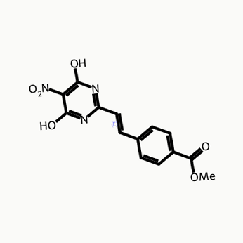 COC(=O)c1ccc(/C=C/c2nc(O)c([N+](=O)[O-])c(O)n2)cc1